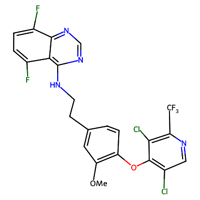 COc1cc(CCNc2ncnc3c(F)ccc(F)c23)ccc1Oc1c(Cl)cnc(C(F)(F)F)c1Cl